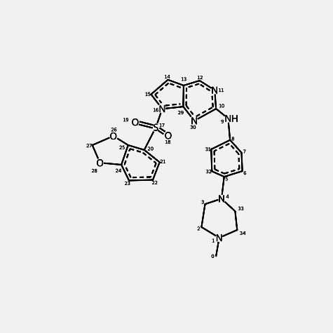 CN1CCN(c2ccc(Nc3ncc4ccn(S(=O)(=O)c5cccc6c5OCO6)c4n3)cc2)CC1